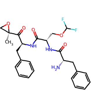 C[C@]1(C(=O)[C@H](Cc2ccccc2)NC(=O)[C@H](COC(F)F)NC(=O)[C@@H](N)Cc2ccccc2)CO1